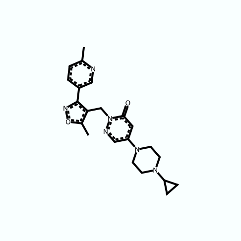 Cc1ccc(-c2noc(C)c2Cn2ncc(N3CCN(C4CC4)CC3)cc2=O)cn1